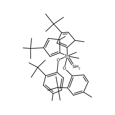 Cc1ccc([O][Zr]([CH3])([CH3])(=[SiH2])([O]c2ccc(C)cc2C(C)(C)C)([C]2=CC(C(C)(C)C)=CC2C)[C]2=CC(C(C)(C)C)=CC2C)c(C(C)(C)C)c1